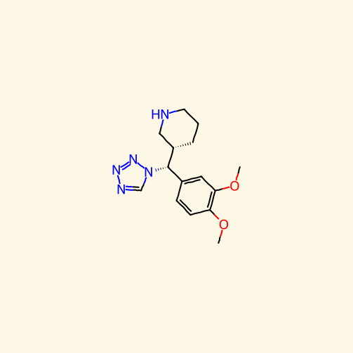 COc1ccc([C@@H]([C@H]2CCCNC2)n2cnnn2)cc1OC